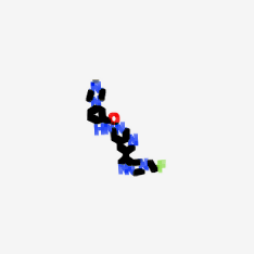 CN1CCN(c2cccc(C(=O)Nc3cc4cc(-c5cnn6c5CN(CCF)CC6)cnc4cn3)c2)CC1